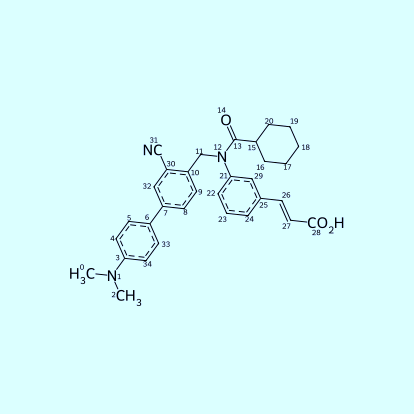 CN(C)c1ccc(-c2ccc(CN(C(=O)C3CCCCC3)c3cccc(C=CC(=O)O)c3)c(C#N)c2)cc1